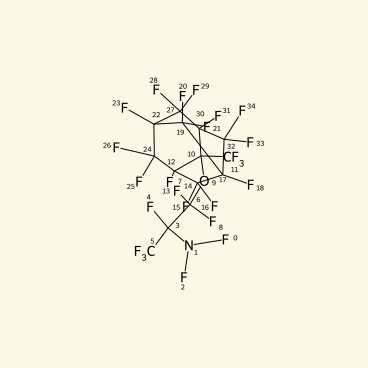 FN(F)C(F)(C(F)(F)F)C(F)(F)OC1(C(F)(F)F)C2(F)C(F)(F)C3(F)C(F)(F)C(F)(C2(F)F)C(F)(F)C1(F)C3(F)F